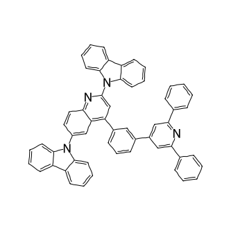 c1ccc(-c2cc(-c3cccc(-c4cc(-n5c6ccccc6c6ccccc65)nc5ccc(-n6c7ccccc7c7ccccc76)cc45)c3)cc(-c3ccccc3)n2)cc1